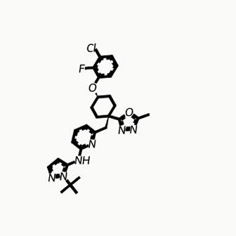 Cc1nnc([C@]2(Cc3cccc(Nc4ccnn4C(C)(C)C)n3)CC[C@H](Oc3cccc(Cl)c3F)CC2)o1